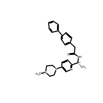 C[C@@H](NC(=O)Cc1ccc(-c2ccccc2)cc1)c1ccc(N2CCN(C)CC2)cn1